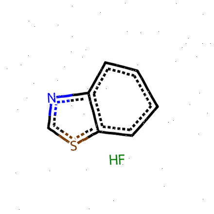 F.c1ccc2scnc2c1